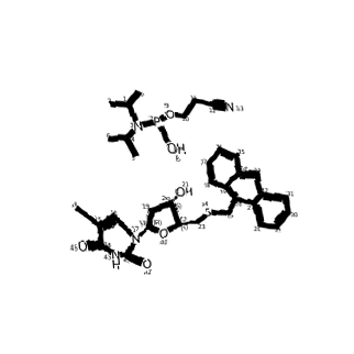 CC(C)N(C(C)C)P(O)OCCC#N.Cc1cn([C@H]2C[C@H](O)[C@@H](CSCc3c4ccccc4cc4ccccc34)O2)c(=O)[nH]c1=O